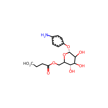 Nc1ccc(O[C@H]2OC(COC(=O)CCC(=O)O)[C@@H](O)C(O)C2O)cc1